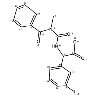 CN(C(=O)NC(C(=O)O)c1cccc(I)c1)C(=O)c1ccccc1